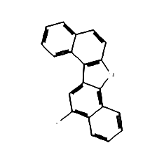 Brc1cc2c([nH]c3ccc4ccccc4c32)c2ccccc12